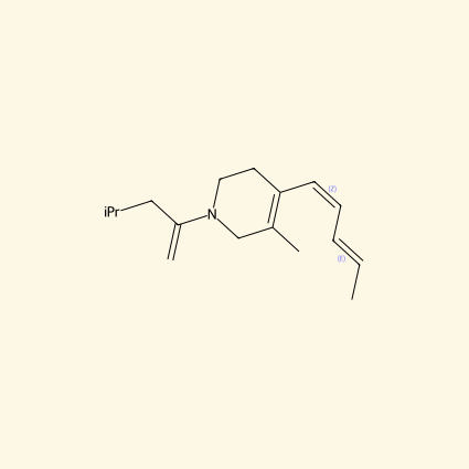 C=C(CC(C)C)N1CCC(/C=C\C=C\C)=C(C)C1